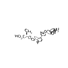 CC#C[C@@H](CC(=O)O)c1ccc(O[C@@H]2CCc3c(-c4ccc(OC5CCS(O)(O)CC5)nc4)ccc(F)c32)cc1